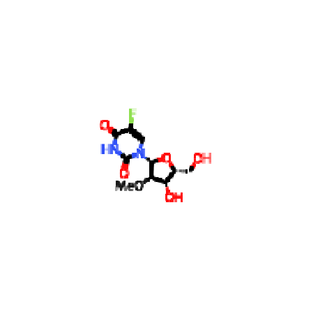 CO[C@@H]1[C@@H](O)[C@@H](CO)O[C@H]1n1cc(F)c(=O)[nH]c1=O